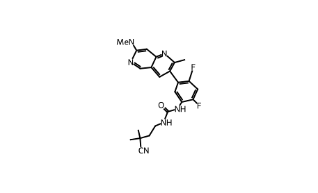 CNc1cc2nc(C)c(-c3cc(NC(=O)NCCC(C)(C)C#N)c(F)cc3F)cc2cn1